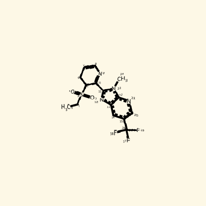 CCS(=O)(=O)C1CC=CN=C1c1nc2cc(C(F)(F)F)cnc2n1C